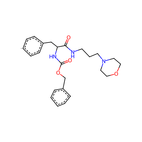 O=C(NC(Cc1cc[c]cc1)C(=O)NCCCN1CCOCC1)OCc1ccccc1